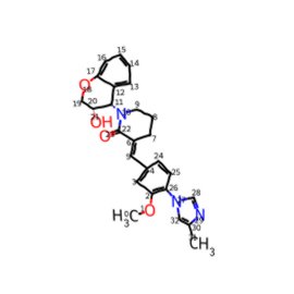 COc1cc(/C=C2\CCCN([C@H]3c4ccccc4OC[C@H]3O)C2=O)ccc1-n1cnc(C)c1